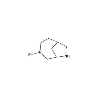 CC(C)N1CCC2CNC(C2)C1